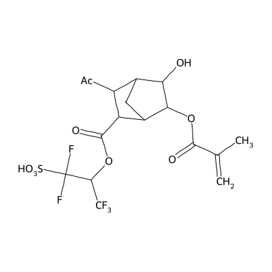 C=C(C)C(=O)OC1C(O)C2CC1C(C(=O)OC(C(F)(F)F)C(F)(F)S(=O)(=O)O)C2C(C)=O